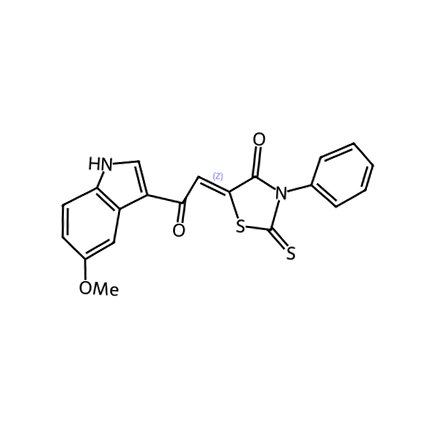 COc1ccc2[nH]cc(C(=O)/C=C3\SC(=S)N(c4ccccc4)C3=O)c2c1